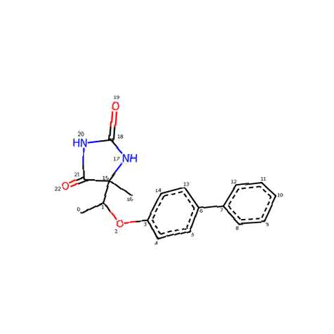 CC(Oc1ccc(-c2ccccc2)cc1)C1(C)NC(=O)NC1=O